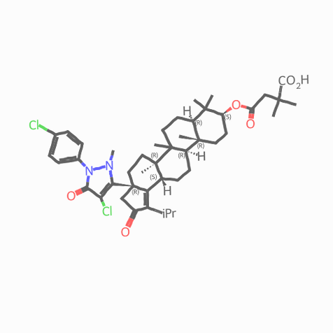 CC(C)C1=C2[C@H]3CC[C@H]4C(C)(CC[C@H]5C(C)(C)[C@@H](OC(=O)CC(C)(C)C(=O)O)CC[C@@]54C)[C@]3(C)CC[C@@]2(c2c(Cl)c(=O)n(-c3ccc(Cl)cc3)n2C)CC1=O